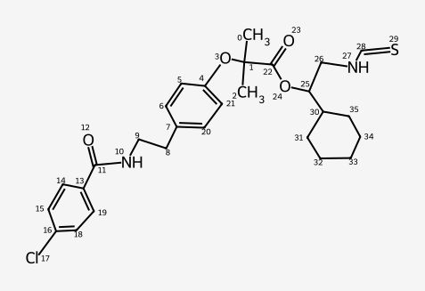 CC(C)(Oc1ccc(CCNC(=O)c2ccc(Cl)cc2)cc1)C(=O)OC(CNC=S)C1CCCCC1